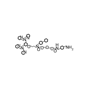 NCc1ccc(CNC(=O)COCCOCCOCC(=O)N(CCCCOc2cc(CN(Cc3ccccn3)Cc3ccccn3)cc(CN(Cc3ccccn3)Cc3ccccn3)c2)Cc2ccc(-c3ccccc3)cc2)cc1